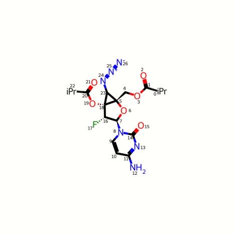 CC(C)C(=O)OC[C@@]12O[C@@H](n3ccc(N)nc3=O)[C@H](F)[C@@]1(OC(=O)C(C)C)C2N=[N+]=[N-]